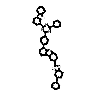 c1ccc(-c2ccc3nc(-c4ccc5sc6c(-c7ccc(-c8nc(-c9ccccc9)nc(-c9cccc%10c9oc9ccccc9%10)n8)cc7)cccc6c5c4)oc3c2)cc1